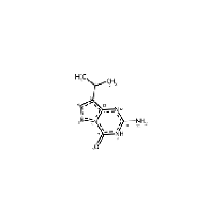 CC(C)c1cnn2c(=O)[nH]c(N)nc12